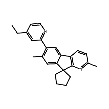 CCc1ccnc(-c2cc3c(cc2C)C2(CCCC2)c2nc(C)ccc2-3)c1